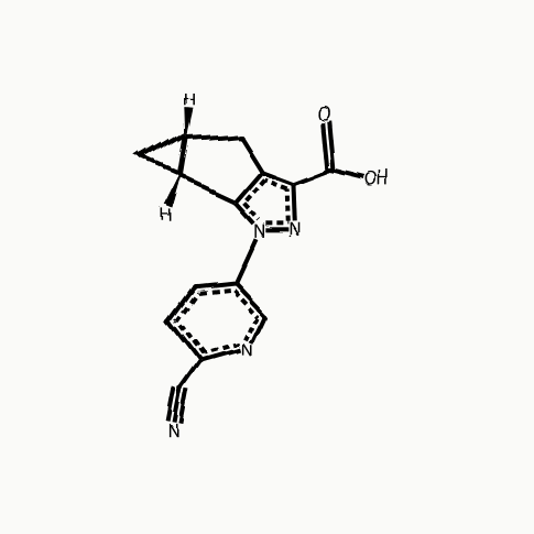 N#Cc1ccc(-n2nc(C(=O)O)c3c2[C@@H]2C[C@@H]2C3)cn1